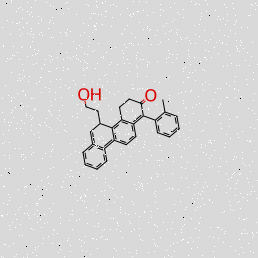 Cc1ccccc1C1=c2ccc3c(c2CCC1=O)C(CCO)C=c1ccccc1=3